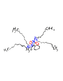 CCCCCCCCCCN(CCCCCCCCCC)CN1C(=O)N(CN(CCCCCCCCCC)CCCCCCCCCC)C(C)(C2CCCCC2)C1=O